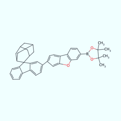 CC1(C)OB(c2ccc3c(c2)oc2cc(-c4ccc5c(c4)C4(c6ccccc6-5)C5CC6CC(C5)CC4C6)ccc23)OC1(C)C